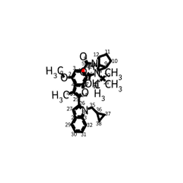 COc1cc(C(=O)N2CC3CCC2[C@@H]3N(C(=O)O)C(C)(C)C)cc2oc(-c3cc4ccccc4n3CC3CC3)c(C)c12